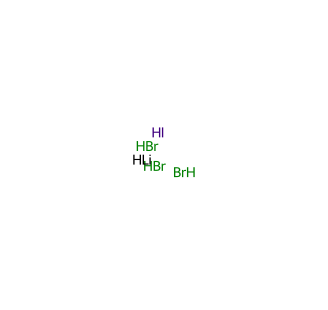 Br.Br.Br.I.[LiH]